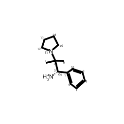 CC(C)([C@@H](N)c1ccccc1)N1CCCC1